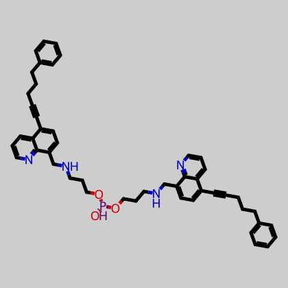 O=[PH](OCCCNCc1ccc(C#CCCCc2ccccc2)c2cccnc12)OCCCNCc1ccc(C#CCCCc2ccccc2)c2cccnc12